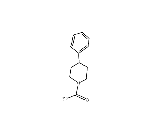 CC(C)C(=O)N1CCC(c2ccccc2)CC1